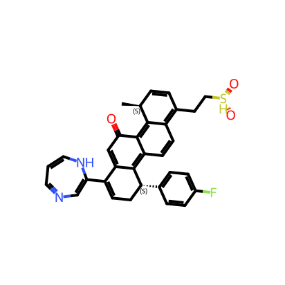 C[C@H]1C=CC(CC[SH](=O)=O)=c2ccc3c(c21)C(=O)C=C1C(C2=CN=CC=CN2)=CC[C@@H](c2ccc(F)cc2)C=31